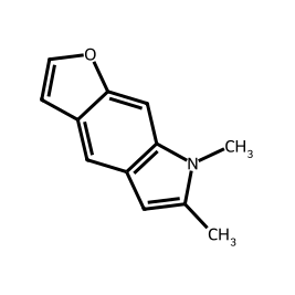 Cc1cc2cc3ccoc3cc2n1C